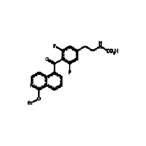 CCOc1nccc2c(C(=O)c3c(F)cc(CCNC(=O)O)cc3F)cccc12